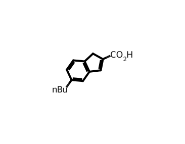 CCCCc1ccc2c(c1)C=C(C(=O)O)C2